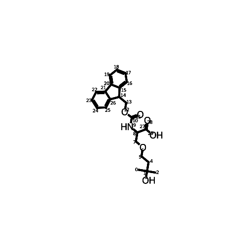 CC(C)(O)CCOCC(NC(=O)OCC1c2ccccc2-c2ccccc21)C(=O)O